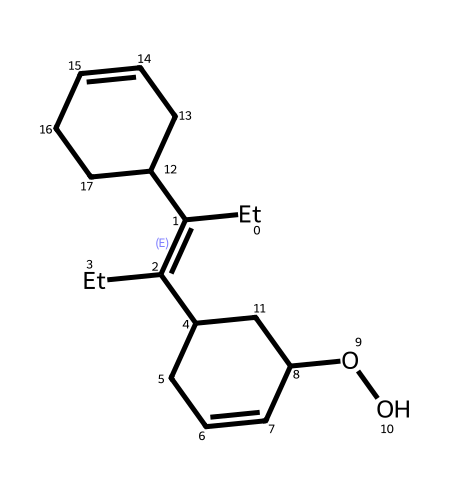 CC/C(=C(/CC)C1CC=CC(OO)C1)C1CC=CCC1